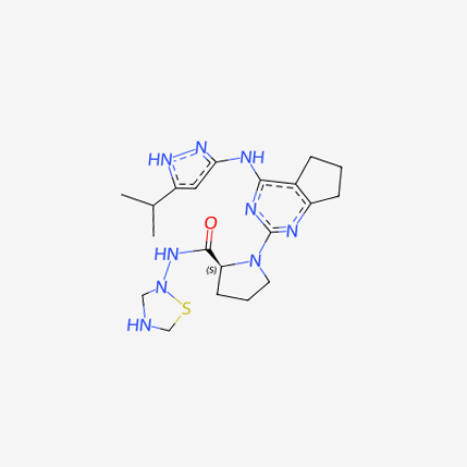 CC(C)c1cc(Nc2nc(N3CCC[C@H]3C(=O)NN3CNCS3)nc3c2CCC3)n[nH]1